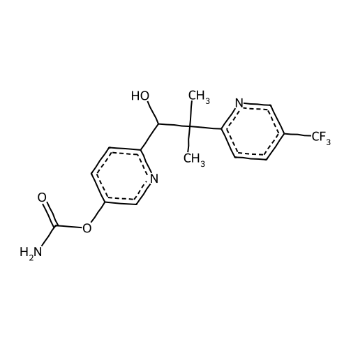 CC(C)(c1ccc(C(F)(F)F)cn1)C(O)c1ccc(OC(N)=O)cn1